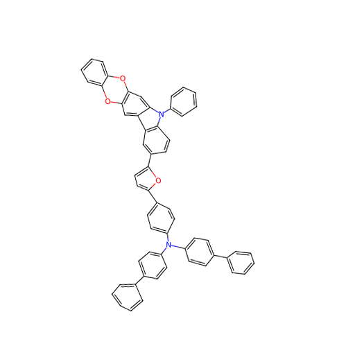 c1ccc(-c2ccc(N(c3ccc(-c4ccccc4)cc3)c3ccc(-c4ccc(-c5ccc6c(c5)c5cc7c(cc5n6-c5ccccc5)Oc5ccccc5O7)o4)cc3)cc2)cc1